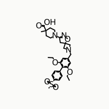 CCOc1cc(CN2CC3(CC(N4CCC(C)(C(=O)O)CC4)=NO3)C2)cc(OCC)c1-c1ccc(S(C)(=O)=O)cc1